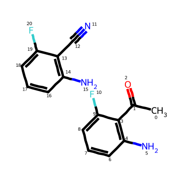 CC(=O)c1c(N)cccc1F.N#Cc1c(N)cccc1F